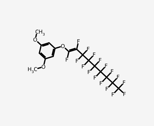 COc1cc(OC)cc(OC(F)=C(F)C(F)(F)C(F)(F)C(F)(F)C(F)(F)C(F)(F)C(F)(F)C(F)(F)F)c1